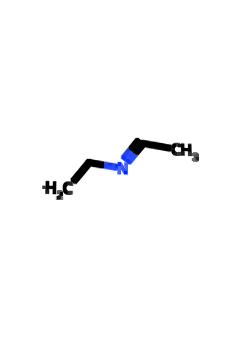 [CH2]CN=CC